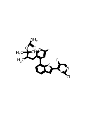 CC(Cc1cnc(F)cc1-c1cccc2cc(-c3nc(Cl)ncc3F)sc12)C(C)(C)OC(N)=O